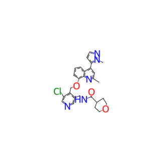 Cc1cc(-c2ccnn2C)c2cccc(OCc3c(Cl)cncc3CNC(=O)C3CCOCC3)c2n1